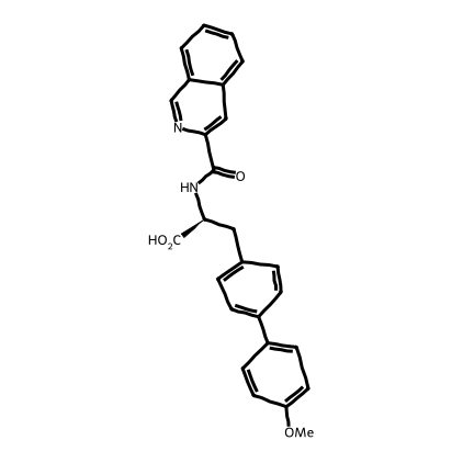 COc1ccc(-c2ccc(C[C@H](NC(=O)c3cc4ccccc4cn3)C(=O)O)cc2)cc1